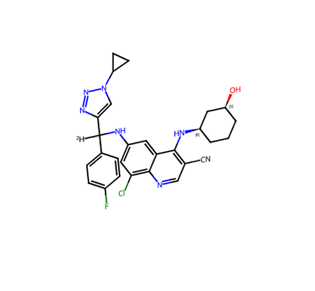 [2H]C(Nc1cc(Cl)c2ncc(C#N)c(N[C@@H]3CCC[C@H](O)C3)c2c1)(c1ccc(F)cc1)c1cn(C2CC2)nn1